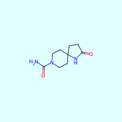 NC(=O)N1CCC2(CCC(=O)N2)CC1